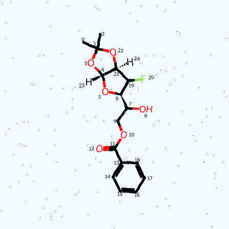 CC1(C)O[C@H]2O[C@H](C(O)COC(=O)c3ccccc3)C(F)[C@@H]2O1